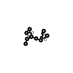 O=C1c2cc(-c3ccc(-c4cccc5c4cc4c6cc7ccccc7n6c6ccccc6c(=O)n54)cc3)cc3c4cc(-c5ccccc5)ccc4n(c23)-c2cccc3c2C1c1ccccc1-3